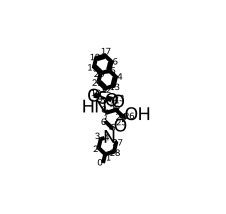 CC1CCN(CC[C@H](NS(=O)(=O)c2ccc3ccccc3c2)C(=O)C(=O)O)CC1